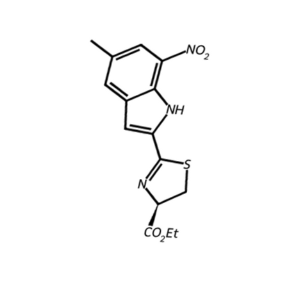 CCOC(=O)[C@@H]1CSC(c2cc3cc(C)cc([N+](=O)[O-])c3[nH]2)=N1